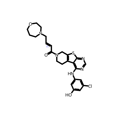 O=C(/C=C/CN1CCCOCC1)N1CCc2c(sc3ncnc(Nc4cc(O)cc(Cl)c4)c23)C1